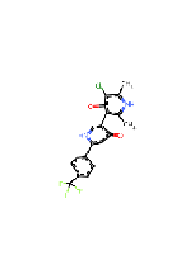 Cc1[nH]c(C)c(-c2c[nH]c(-c3ccc(C(F)(F)F)cc3)cc2=O)c(=O)c1Cl